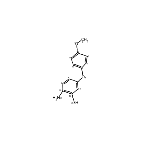 COc1ccc(Oc2ccc(N)c(S)c2)cc1